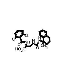 CC1(NC(=O)NCC(NC(=O)c2c(Cl)cccc2Cl)C(=O)O)CCCc2ccccc21